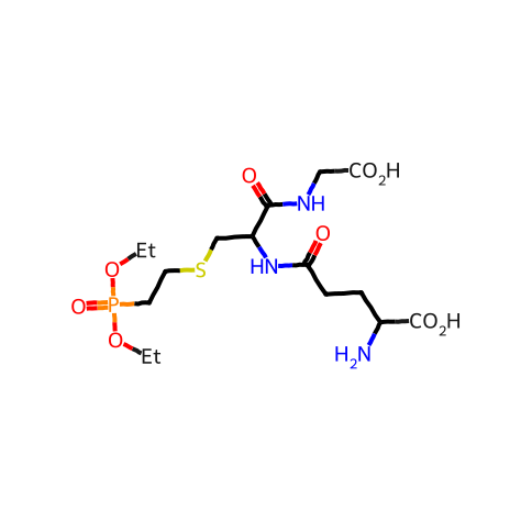 CCOP(=O)(CCSCC(NC(=O)CCC(N)C(=O)O)C(=O)NCC(=O)O)OCC